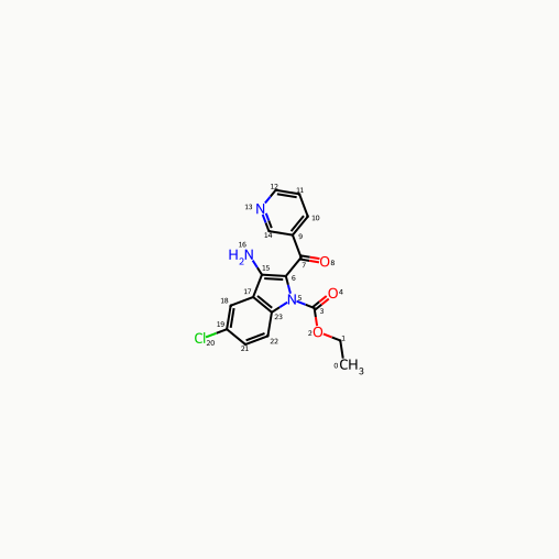 CCOC(=O)n1c(C(=O)c2cccnc2)c(N)c2cc(Cl)ccc21